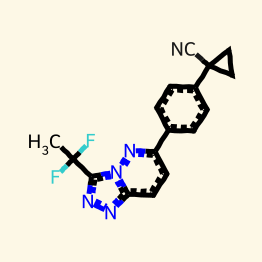 CC(F)(F)c1nnc2ccc(-c3ccc(C4(C#N)CC4)cc3)nn12